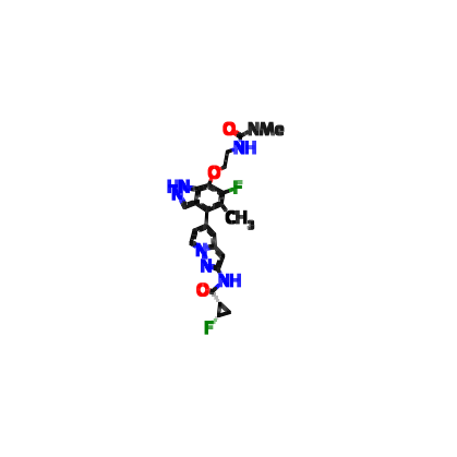 CNC(=O)NCCOc1c(F)c(C)c(-c2ccn3nc(NC(=O)[C@@H]4C[C@@H]4F)cc3c2)c2cn[nH]c12